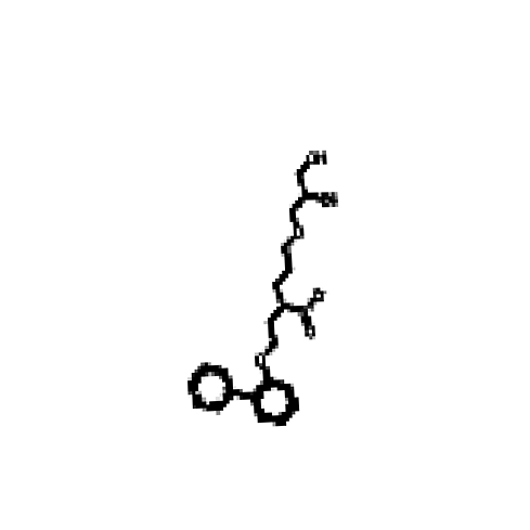 O=[N+]([O-])C(CCCOCC(O)CO)CCOc1ccccc1-c1ccccc1